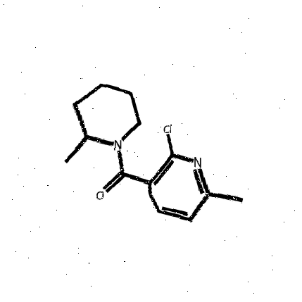 Cc1ccc(C(=O)N2CCCCC2C)c(Cl)n1